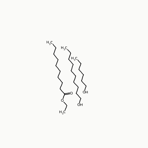 CCCCCCCCCC(=O)OCC.CCCCCCCCCCO.CCCCCCO